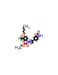 CCCCCOc1ccc(N(C(=O)C(=O)OCC)c2nc(-c3ccc4[nH]c(=O)oc4c3)cs2)cc1C(F)(F)F